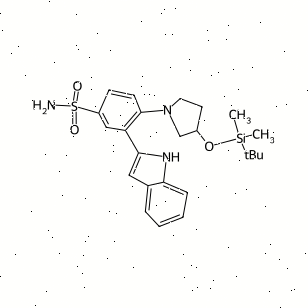 CC(C)(C)[Si](C)(C)OC1CCN(c2ccc(S(N)(=O)=O)cc2-c2cc3ccccc3[nH]2)C1